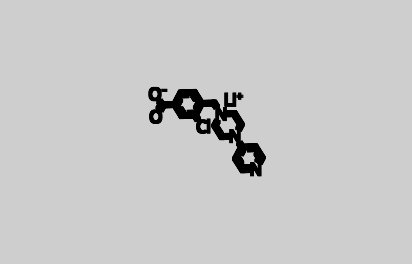 O=C([O-])c1ccc(CN2CCN(c3ccncc3)CC2)c(Cl)c1.[Li+]